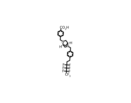 O=C(O)c1ccc(CN2C[C@@H]3C[C@H]2CN3Cc2ccc(CCC(F)(F)C(F)(F)C(F)(F)C(F)(F)F)cc2)cc1